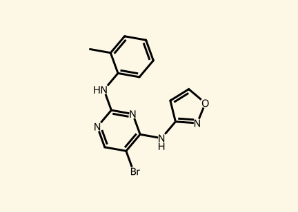 Cc1ccccc1Nc1ncc(Br)c(Nc2ccon2)n1